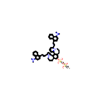 CN(C)c1ccc(/C=C/c2cccc3[n+]2CCCc2ccc4c(c2-3)-c2cccc(/C=C/c3ccc(N(C)C)c5ccccc35)[n+]2CCC4)c2ccccc12.O=S(=O)([O-])C(F)(F)F.O=S(=O)([O-])C(F)(F)F